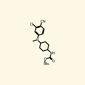 CN(c1ccc(C#N)c(Cl)c1)C1CCC(NC(=O)OC(C)(C)C)CC1